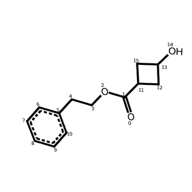 O=C(OCCc1ccccc1)C1CC(O)C1